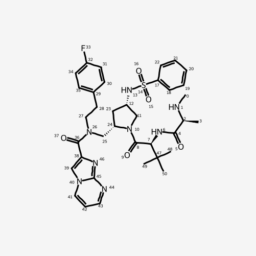 CN[C@@H](C)C(=O)N[C@H](C(=O)N1C[C@@H](NS(=O)(=O)c2ccccc2)C[C@H]1CN(CCc1ccc(F)cc1)C(=O)c1cn2cccnc2n1)C(C)(C)C